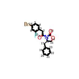 O=C(Cc1ccc(Br)cc1F)N1C(=O)OC[C@H]1Cc1ccccc1